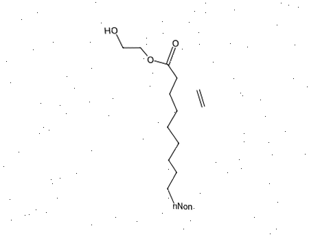 C=C.CCCCCCCCCCCCCCCCCC(=O)OCCO